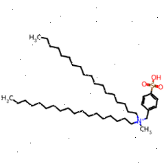 CCCCCCCCCCCCCCCCCC[N+](C)(CCCCCCCCCCCCCCCCCC)Cc1ccc(S(=O)(=O)O)cc1